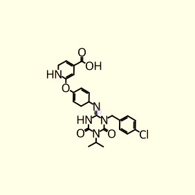 CC(C)n1c(=O)[nH]/c(=N\C2C=CC(OC3=CC(C(=O)O)=CCN3)=CC2)n(Cc2ccc(Cl)cc2)c1=O